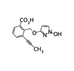 CC#Cc1cccc(C(=O)O)c1COc1ccn(O)n1